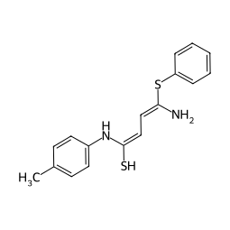 Cc1ccc(N/C(S)=C\C=C(/N)Sc2ccccc2)cc1